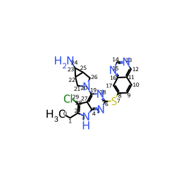 CCc1[nH]c2nc(Sc3ccc4cncnc4c3)nc(N3CC4C(N)C4C3)c2c1Cl